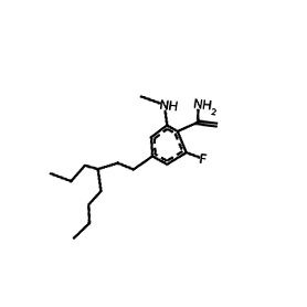 C=C(N)c1c(F)cc(CCC(CCC)CCCC)cc1NC